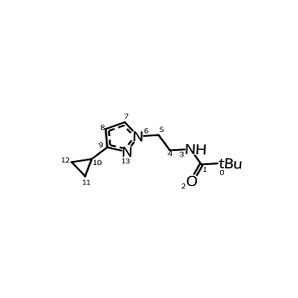 CC(C)(C)C(=O)NCCn1ccc(C2CC2)n1